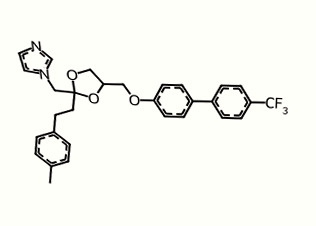 Cc1ccc(CCC2(Cn3ccnc3)OCC(COc3ccc(-c4ccc(C(F)(F)F)cc4)cc3)O2)cc1